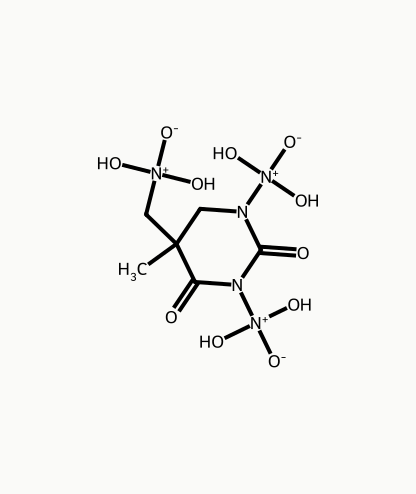 CC1(C[N+]([O-])(O)O)CN([N+]([O-])(O)O)C(=O)N([N+]([O-])(O)O)C1=O